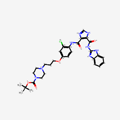 CC(C)(C)OC(=O)N1CCN(CCCOc2ccc(NC(=O)c3nc[nH]c3C(=O)Nc3nc4ccccc4[nH]3)c(Cl)c2)CC1